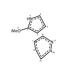 COc1ccc[nH]1.c1ccnnc1